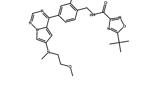 COCCN(C)c1cc2c(-c3ccc(CNC(=O)c4noc(C(C)(C)C)n4)c(C)c3)ncnn2c1